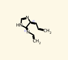 C=C/C=C1/N=CN/C1=N/C=C